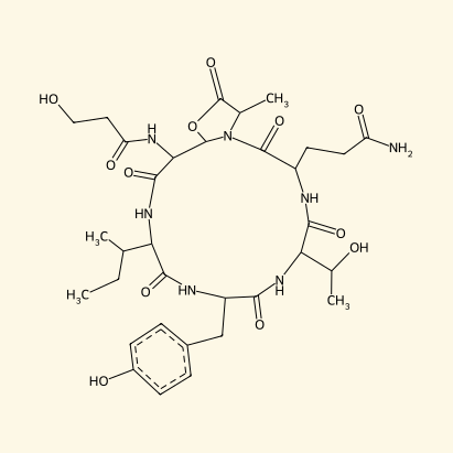 CCC(C)C1NC(=O)C(NC(=O)CCO)C2OC(=O)C(C)N2C(=O)C(CCC(N)=O)NC(=O)C(C(C)O)NC(=O)C(Cc2ccc(O)cc2)NC1=O